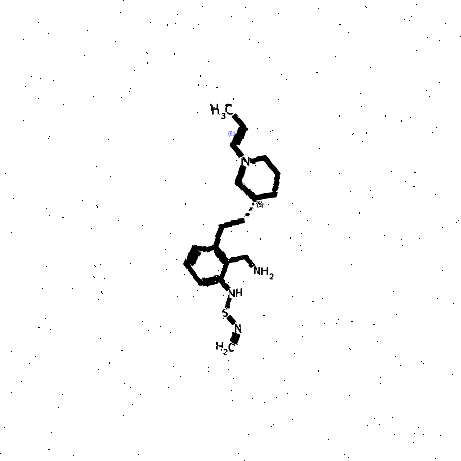 C=NSNc1cccc(CC[C@H]2CCCN(/C=C/C)C2)c1CN